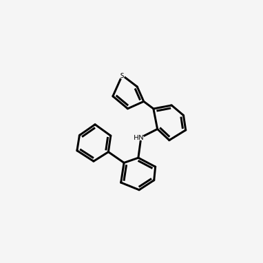 c1ccc(-c2ccccc2Nc2ccccc2-c2ccsc2)cc1